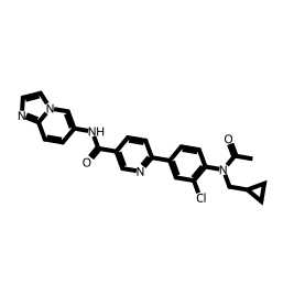 CC(=O)N(CC1CC1)c1ccc(-c2ccc(C(=O)Nc3ccc4nccn4c3)cn2)cc1Cl